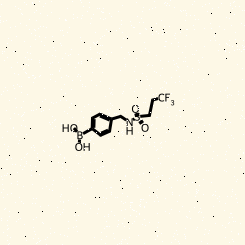 O=S(=O)(CCC(F)(F)F)NCc1ccc(B(O)O)cc1